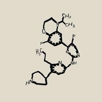 CCCc1nc(Nc2ncc(F)c(-c3cc(F)c4c(c3)N(C(C)C)CCO4)n2)ccc1C1CCNCC1